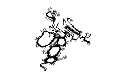 C=CC(=O)N1CCN(C2NC(OC[C@H]3CCCN3C)NC3(C4CCCCCCC4)C[C@@]4(CCc5cc(F)ccc5C4)CCC23)C[C@H]1CC#N